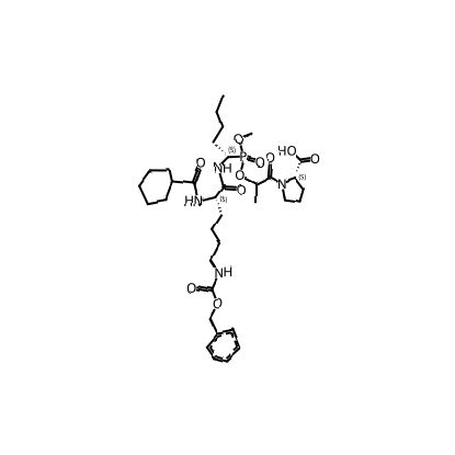 CCCC[C@@H](NC(=O)[C@H](CCCCNC(=O)OCc1ccccc1)NC(=O)C1CCCCC1)P(=O)(OC)OC(C)C(=O)N1CCC[C@H]1C(=O)O